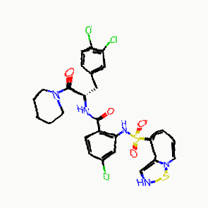 O=C(N[C@@H](Cc1ccc(Cl)c(Cl)c1)C(=O)N1CCCCC1)c1ccc(Cl)cc1NS(=O)(=O)C1=CC=CN2SNC=C12